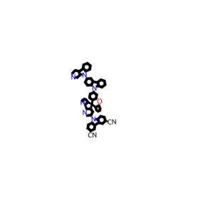 N#Cc1ccc2c(c1)c1cc(C#N)ccc1n2-c1cnc2c(c1)C1(c3ccccc3Oc3cc(-n4c5ccccc5c5cc(-n6c7ccccc7c7ccncc76)ccc54)ccc31)c1cccnc1-2